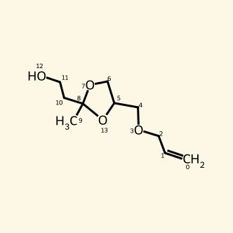 C=CCOCC1COC(C)(CCO)O1